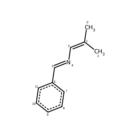 CC(C)=CN=Cc1ccccc1